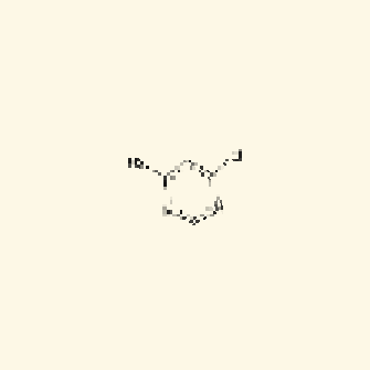 Sc1cc(Cl)ncn1